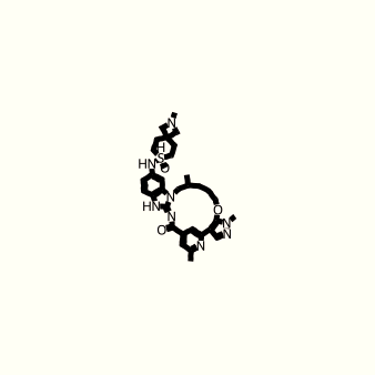 Cc1cc2cc(n1)-c1cnn(C)c1OCCCC(C)CN1/C(=N/C2=O)Nc2ccc(N[SH]3(=O)CCC4(CC3)CN(C)C4)cc21